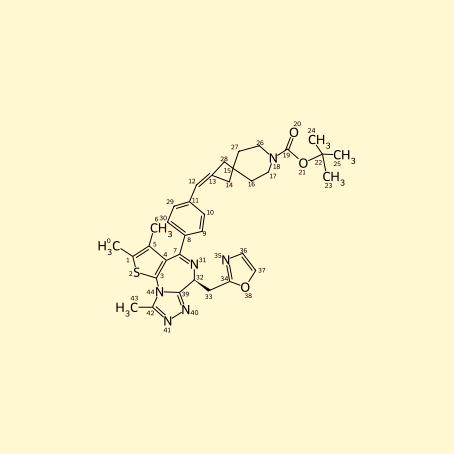 Cc1sc2c(c1C)C(c1ccc(C=C3CC4(CCN(C(=O)OC(C)(C)C)CC4)C3)cc1)=N[C@@H](Cc1ncco1)c1nnc(C)n1-2